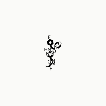 O=C([C@H](Nc1ncc(-c2nnc(C(F)F)o2)cn1)c1ccc(F)cc1)N1CCOCC1